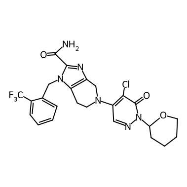 NC(=O)c1nc2c(n1Cc1ccccc1C(F)(F)F)CCN(c1cnn(C3CCCCO3)c(=O)c1Cl)C2